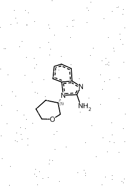 Nc1nc2ccccc2n1[C@H]1CCCOC1